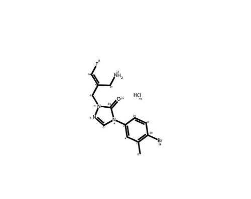 Cc1cc(-n2cnn(C/C(=C/F)CN)c2=O)ccc1Br.Cl